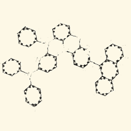 c1ccc(N(c2ccccc2)c2ccc3c(n2)N(c2ccccc2)c2cccc4c2B3c2ccc(-c3c5ccccc5cc5ccccc35)nc2O4)cc1